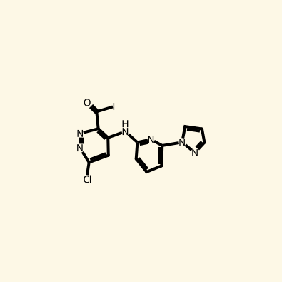 O=C(I)c1nnc(Cl)cc1Nc1cccc(-n2cccn2)n1